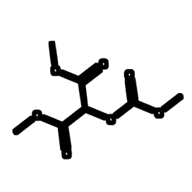 COC(=O)OC(C(=O)OC)C(=O)OC